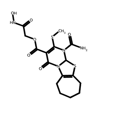 CSC1=C(C(=O)OCC(=O)NO)C(=O)N2C3=C(CCCCC3)SC2N1C(N)=O